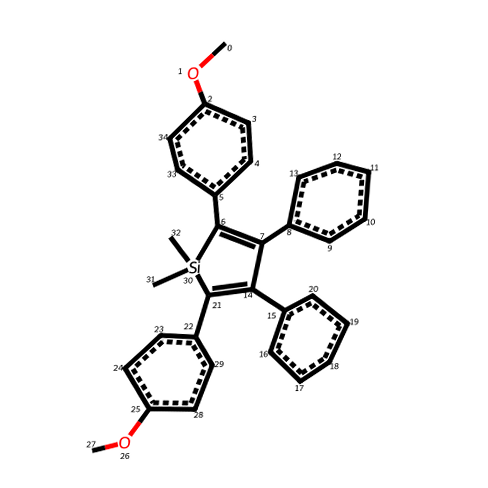 COc1ccc(C2=C(c3ccccc3)C(c3ccccc3)=C(c3ccc(OC)cc3)[Si]2(C)C)cc1